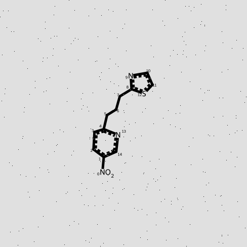 O=[N+]([O-])c1ccc(CCCc2nccs2)nc1